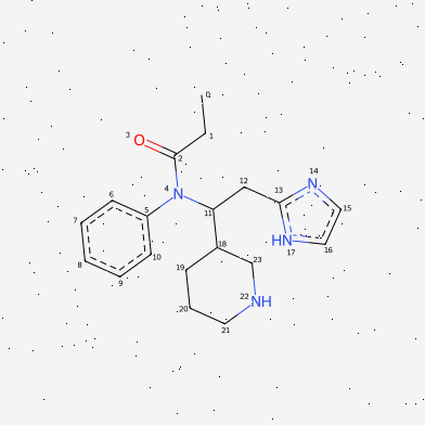 CCC(=O)N(c1ccccc1)C(Cc1ncc[nH]1)C1CCCNC1